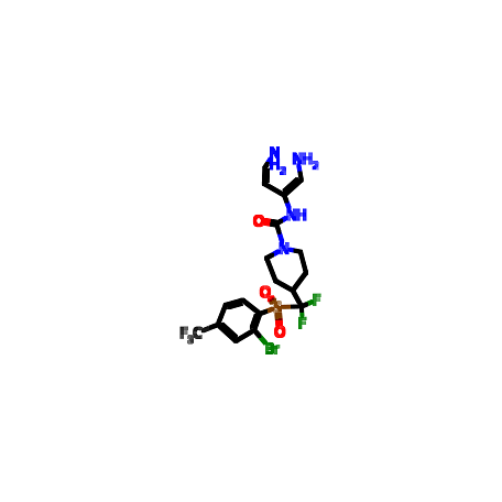 N/C=C\C(=C/N)NC(=O)N1CCC(C(F)(F)S(=O)(=O)c2ccc(C(F)(F)F)cc2Br)CC1